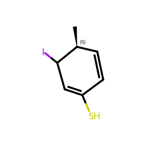 C[C@H]1C=CC(S)=CC1I